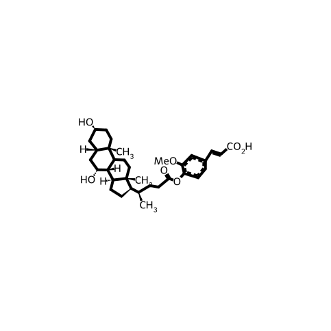 COc1cc(/C=C/C(=O)O)ccc1OC(=O)CC[C@@H](C)[C@H]1CC[C@H]2[C@H]3C(CC[C@]12C)[C@@]1(C)CC[C@@H](O)C[C@H]1C[C@H]3O